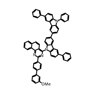 COc1cccc(-c2ccc(-c3nc(-n4c5ccc(-c6ccccc6)cc5c5cc(-c6ccc7c(c6)c6cc(-c8ccccc8)ccc6n7-c6ccccc6)ccc54)c4ccc5ccccc5c4n3)cc2)c1